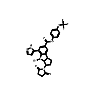 CC(C)N1c2c(-c3ccn[nH]3)cc(C(=O)Nc3ccc(OC(F)(F)Cl)cc3)cc2C2CCC(N3C(=O)CCC3=O)C21